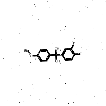 CCC(C)Oc1ccc(C(C)(C)c2ccc(F)c(F)c2)cc1